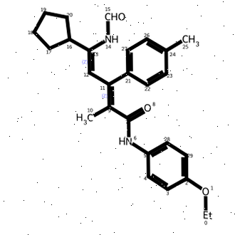 CCOc1ccc(NC(=O)/C(C)=C(/C=C(\NC=O)C2CCCC2)c2ccc(C)cc2)cc1